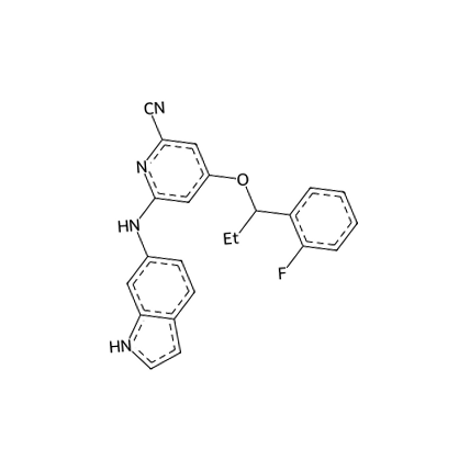 CCC(Oc1cc(C#N)nc(Nc2ccc3cc[nH]c3c2)c1)c1ccccc1F